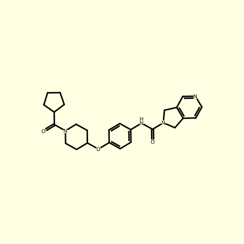 O=C(Nc1ccc(OC2CCN(C(=O)C3CCCC3)CC2)cc1)N1Cc2ccncc2C1